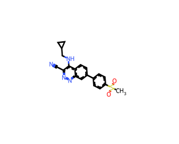 CS(=O)(=O)c1ccc(-c2ccc3c(NCC4CC4)c(C#N)nnc3c2)cc1